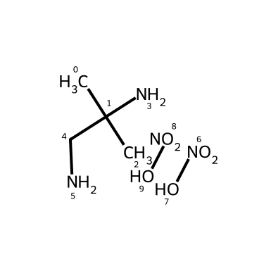 CC(C)(N)CN.O=[N+]([O-])O.O=[N+]([O-])O